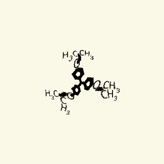 CC(C)=COc1ccc(C(c2ccc(OC=C(C)C)cc2)c2ccc(OC=C(C)C)cc2)cc1